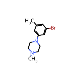 Cc1cc(Br)cc(N2CCN(C)CC2)c1